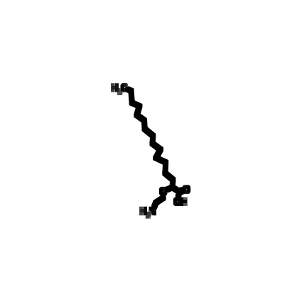 CCCCCCCCCCCCCCC(OCCN)C(=O)O